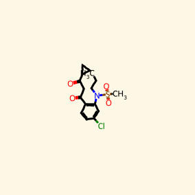 CCCN(c1cc(Cl)ccc1C(=O)CC(=O)C1CC1)S(C)(=O)=O